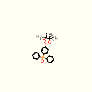 CC1(C)OB(c2ccc(P(=O)(c3ccccc3)c3ccccc3)cc2)OC1(C)C